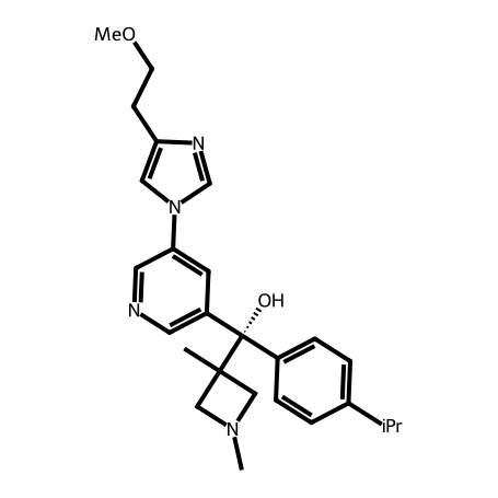 COCCc1cn(-c2cncc([C@@](O)(c3ccc(C(C)C)cc3)C3(C)CN(C)C3)c2)cn1